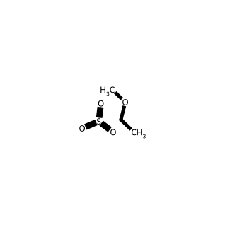 CCOC.O=S(=O)=O